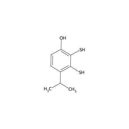 CC(C)c1ccc(O)c(S)c1S